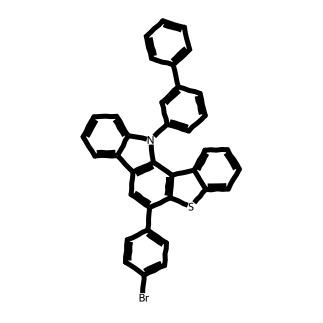 Brc1ccc(-c2cc3c4ccccc4n(-c4cccc(-c5ccccc5)c4)c3c3c2sc2ccccc23)cc1